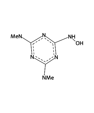 CNc1nc(NC)nc(NO)n1